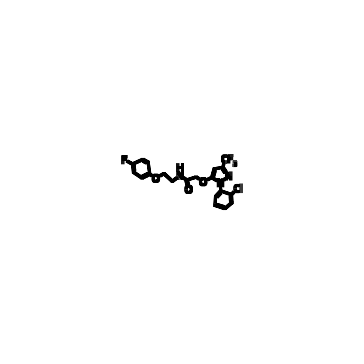 O=C(COc1cc(C(F)(F)F)nn1-c1ccccc1Cl)NCCOc1ccc(F)cc1